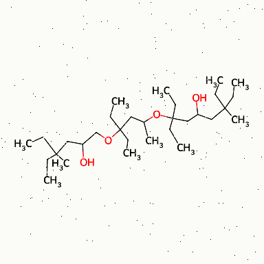 CCC(C)(CC)CC(O)COC(CC)(CC)CC(C)OC(CC)(CC)CC(O)CC(C)(CC)CC